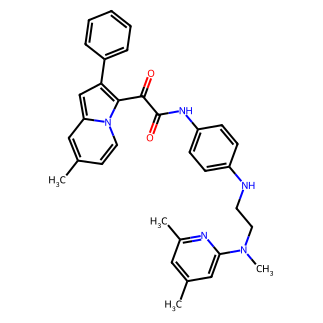 Cc1cc(C)nc(N(C)CCNc2ccc(NC(=O)C(=O)c3c(-c4ccccc4)cc4cc(C)ccn34)cc2)c1